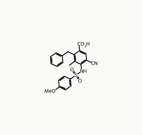 COc1ccc(S(=O)(=O)Nc2c(C#N)cc(C(=O)O)c(Cc3ccccc3)c2C)cc1